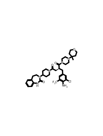 CC1(N2CCN(C(=O)[C@H](CC(=O)N3CCC(N4CCc5ccccc5NC4=O)CC3)Cc3cc(Cl)c(N)c(C(F)(F)F)c3)CC2)CCOCC1